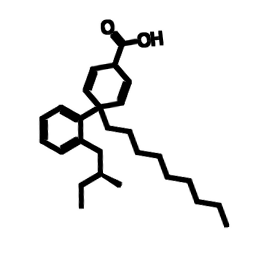 CCCCCCCCCC1(c2ccccc2C[C@@H](C)CC)C=CC(C(=O)O)C=C1